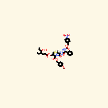 CCC(O)C(CC)CCC(=O)OCC1=CS[C@H]2C(NC(=O)C(NC(=O)OCc3ccc([N+](=O)[O-])cc3)c3ccccc3)C(=O)N2C1C(=O)OCc1ccc(OC)cc1